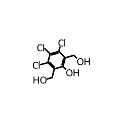 OCc1c(O)c(CO)c(Cl)c(Cl)c1Cl